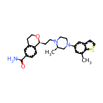 Cc1cc(N2CCN(CC[C@@H]3OCCc4cc(C(N)=O)ccc43)[C@H](C)C2)cc2ccsc12